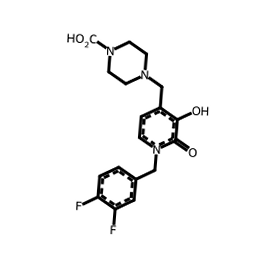 O=C(O)N1CCN(Cc2ccn(Cc3ccc(F)c(F)c3)c(=O)c2O)CC1